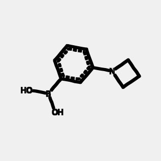 OB(O)c1cccc(N2CCC2)c1